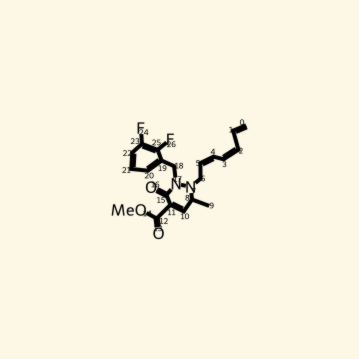 C=C/C=C\C=C/CN1C(C)C=C(C(=O)OC)C(=O)N1Cc1cccc(F)c1F